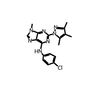 Cc1nn(-c2nc(Nc3ccc(Cl)cc3)c3ncn(C)c3n2)c(C)c1C